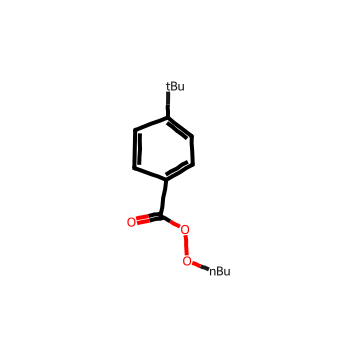 [CH2]CCCOOC(=O)c1ccc(C(C)(C)C)cc1